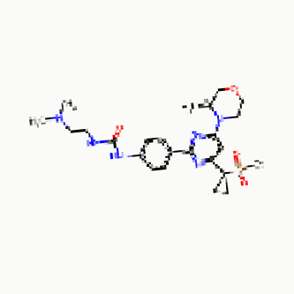 CCS(=O)(=O)C1(c2cc(N3CCOC[C@@H]3C)nc(-c3ccc(NC(=O)NCCN(C)C)cc3)n2)CC1